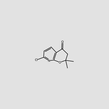 CC1(C)CC(=O)c2ccc(Cl)nc2O1